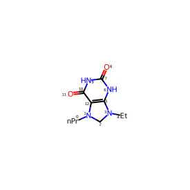 CCCN1CN(CC)c2[nH]c(=O)[nH]c(=O)c21